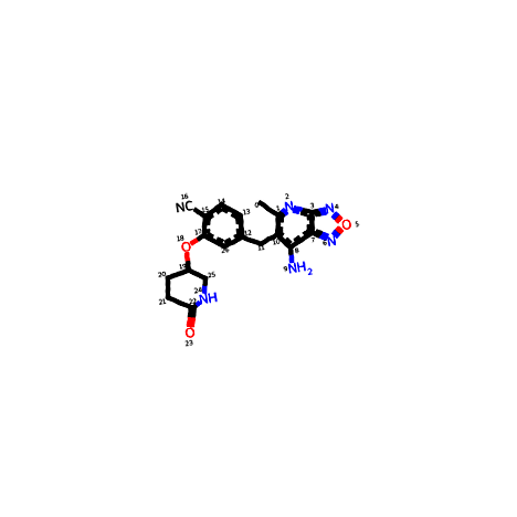 Cc1nc2nonc2c(N)c1Cc1ccc(C#N)c(OC2CCC(=O)NC2)c1